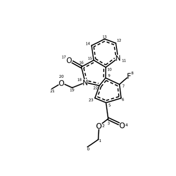 CCOC(=O)c1cc(F)c2c3ncccc3c(=O)n(COC)c2c1